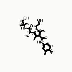 Cc1cc(NC(=O)c2c(C)c(C(O)C(=O)NC(C)(C)CO)n(CCO)c2C)ccc1F